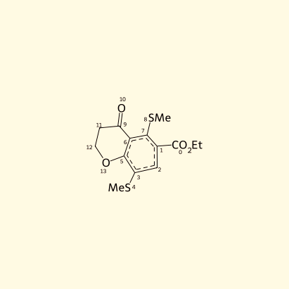 CCOC(=O)c1cc(SC)c2c(c1SC)C(=O)CCO2